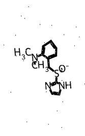 CN(C)c1ccccc1C[S+]([O-])c1ncc[nH]1